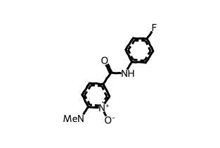 CNc1ccc(C(=O)Nc2ccc(F)cc2)c[n+]1[O-]